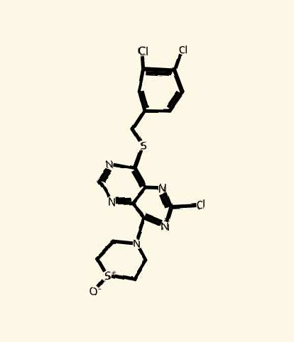 [O-][S+]1CCN(c2nc(Cl)nc3c(SCc4ccc(Cl)c(Cl)c4)ncnc23)CC1